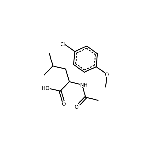 CC(=O)NC(CC(C)C)C(=O)O.COc1ccc(Cl)cc1